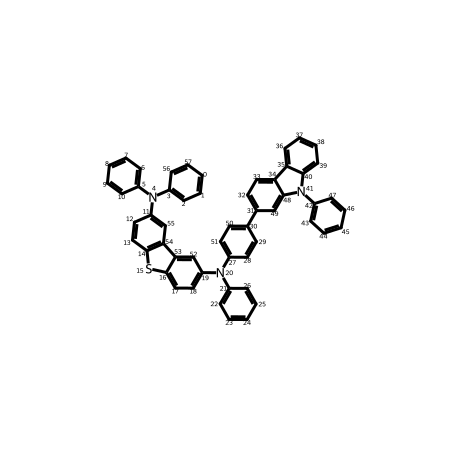 c1ccc(N(c2ccccc2)c2ccc3sc4ccc(N(c5ccccc5)c5ccc(-c6ccc7c8ccccc8n(-c8ccccc8)c7c6)cc5)cc4c3c2)cc1